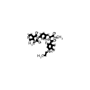 CCCNc1cc(F)c(C(=O)N[C@@H](Cc2ccc(-n3c(=O)c4ccncc4n(C)c3=O)nc2)C(=O)OC)c(F)c1F